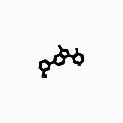 Cc1ccncc1-n1cc(C)c2cc(-c3cccc(C#N)c3)ccc21